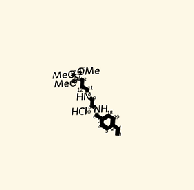 C=Cc1ccc(CNCCNCCC[Si](OC)(OC)OC)cc1.Cl